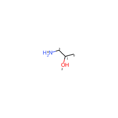 C[C](O)CN